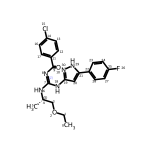 CCOC[C@H](C)N/C(=N/C(=O)c1ccc(Cl)cc1)Nc1cc(-c2ccc(F)cc2)[nH]n1